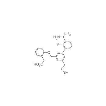 CC(C)OCc1cc(COc2ccccc2CC(=O)O)cc(-c2cccc(C(C)N)c2F)c1